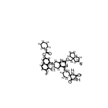 CCc1c(F)ccc2cc(OC(=O)N3CCCCC3)cc(N3CCc4c(nc(OC[C@@]56CCCN5C[C@H](F)C6)nc4N4CCC[C@]5(C4)NC(=O)NC5=O)C3)c12